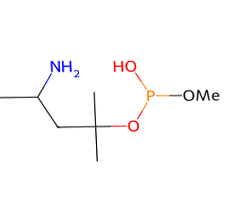 COP(O)OC(C)(C)CC(C)N